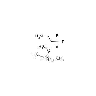 CO[SiH](OC)OC.FC(F)(F)CC[SiH3]